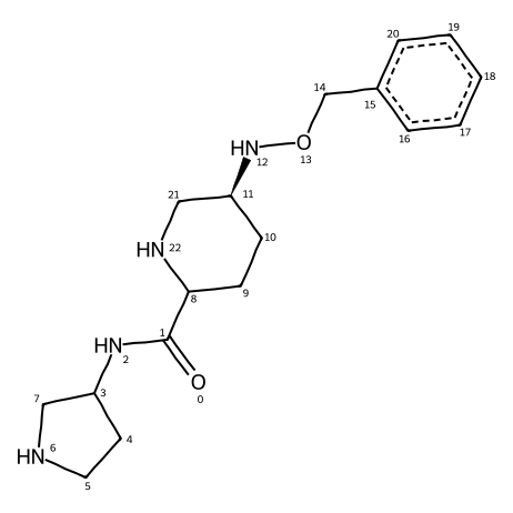 O=C(NC1CCNC1)C1CC[C@H](NOCc2ccccc2)CN1